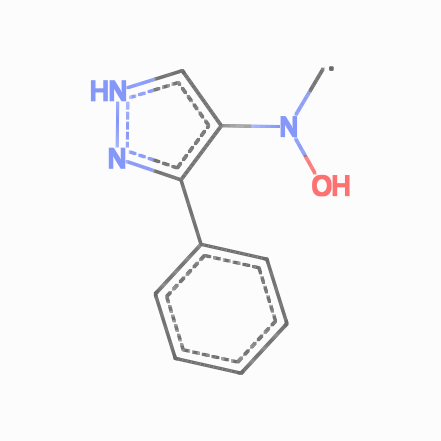 [CH2]N(O)c1c[nH]nc1-c1ccccc1